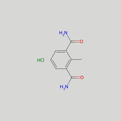 Cc1c(C(N)=O)cccc1C(N)=O.Cl